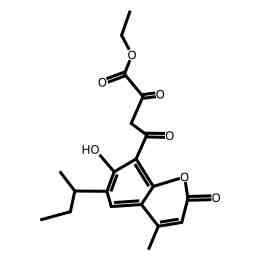 CCOC(=O)C(=O)CC(=O)c1c(O)c(C(C)CC)cc2c(C)cc(=O)oc12